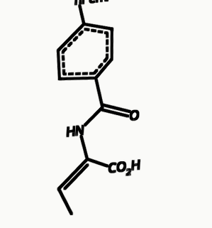 C/C=C(/NC(=O)c1ccc(CCCCC)cc1)C(=O)O